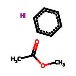 COC(C)=O.I.c1ccccc1